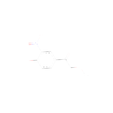 COCC(=O)c1ccc(O)c([N+](=O)[O-])c1